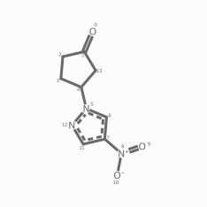 O=C1CCC(n2cc([N+](=O)[O-])cn2)C1